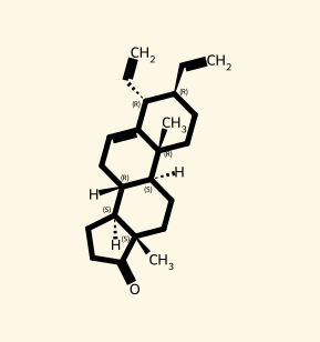 C=C[C@H]1CC[C@@]2(C)C(=CC[C@@H]3[C@@H]2CC[C@]2(C)C(=O)CC[C@@H]32)[C@@H]1C=C